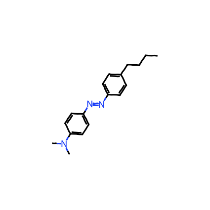 CCCCc1ccc(/N=N/c2ccc(N(C)C)cc2)cc1